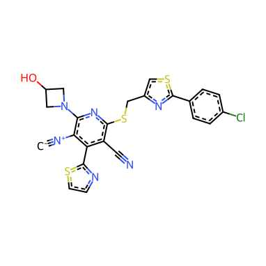 [C-]#[N+]c1c(N2CC(O)C2)nc(SCc2csc(-c3ccc(Cl)cc3)n2)c(C#N)c1-c1nccs1